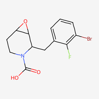 O=C(O)N1CCC2OC2C1Cc1cccc(Br)c1F